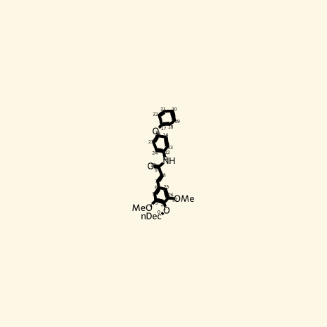 CCCCCCCCCCOc1c(OC)cc(C=CC(=O)Nc2ccc(Oc3ccccc3)cc2)cc1OC